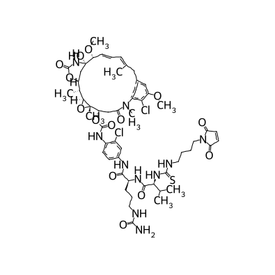 COc1cc2cc(c1Cl)N(C)C(=O)C[C@H](OC(=O)Nc1ccc(NC(=O)[C@H](CCCNC(N)=O)NC(=O)[C@@H](NC(=S)NCCCCN3C(=O)C=CC3=O)C(C)C)cc1Cl)[C@]1(C)O[C@H]1[C@H](C)[C@@H]1C[C@@](O)(NC(=O)O1)[C@H](OC)/C=C/C=C(\C)C2